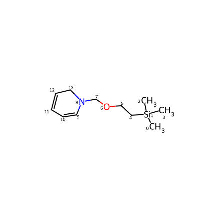 C[Si](C)(C)CCOCN1C=CC=CC1